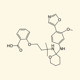 COc1cc(NC2(NC(C)(C)CCOc3ccccc3C(=O)O)CCCCO2)ccc1-c1cnco1